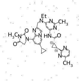 CCN(Cc1cn2cc(C3CC3)cc(N3CC(=O)N(C)C3=O)c2n1)c1cc(NC(=O)[C@H]2C[C@@H]2c2nccc(C)n2)nc(C)n1